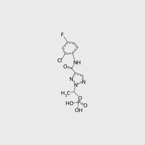 CC(OP(=O)(O)O)n1ncc(C(=O)Nc2ccc(F)cc2Cl)n1